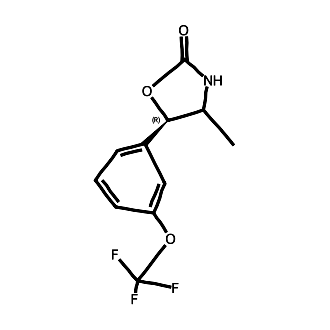 CC1NC(=O)O[C@@H]1c1cccc(OC(F)(F)F)c1